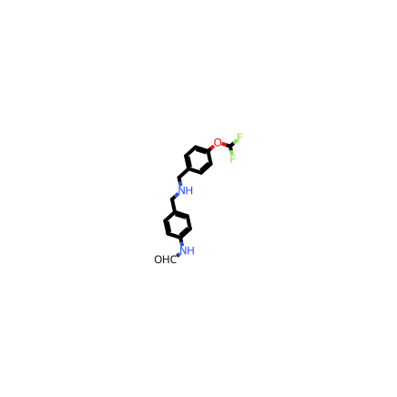 O=CNc1ccc(CNCc2ccc(OC(F)F)cc2)cc1